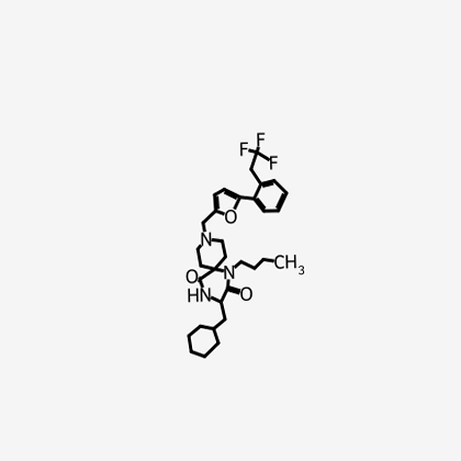 CCCCN1C(=O)C(CC2CCCCC2)NC(=O)C12CCN(Cc1ccc(-c3ccccc3CC(F)(F)F)o1)CC2